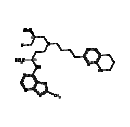 CO[C@H](CF)CN(CCCCc1ccc2c(n1)NCCC2)CC[C@H](Nc1ncnc2sc(C)cc12)C(=O)O